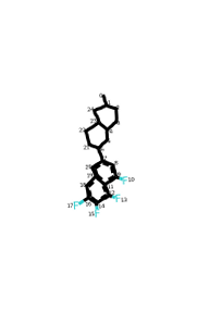 CC1CCC2CC(c3cc(F)c4c(F)c(F)c(F)cc4c3)CCC2C1